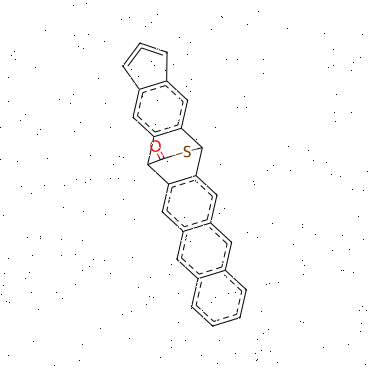 O=C1SC2c3cc4c(cc3C1c1cc3cc5ccccc5cc3cc12)C=C=C4